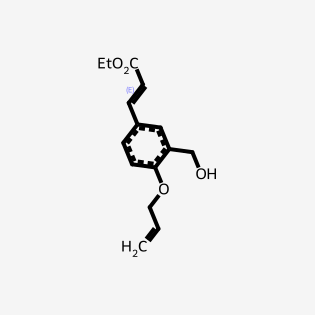 C=CCOc1ccc(/C=C/C(=O)OCC)cc1CO